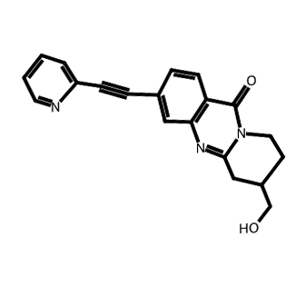 O=c1c2ccc(C#Cc3ccccn3)cc2nc2n1CCC(CO)C2